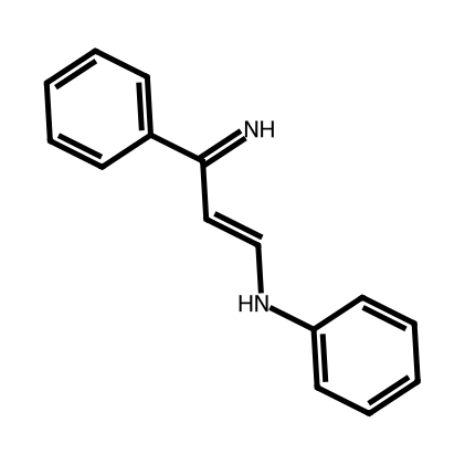 N=C(C=CNc1ccccc1)c1ccccc1